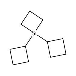 C1CC([Si]2(C3CCC3)CCC2)C1